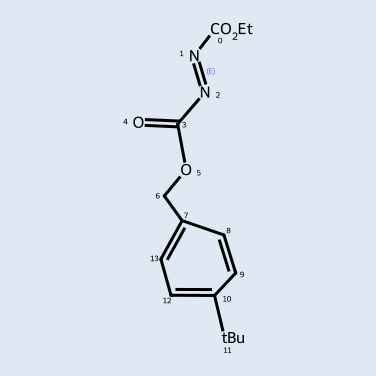 CCOC(=O)/N=N/C(=O)OCc1ccc(C(C)(C)C)cc1